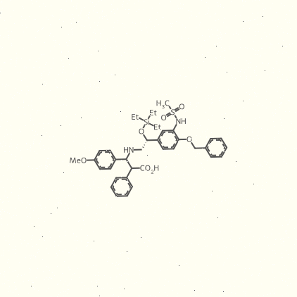 CC[Si](CC)(CC)O[C@@H](CNC(c1ccc(OC)cc1)C(C(=O)O)c1ccccc1)c1ccc(OCc2ccccc2)c(NS(C)(=O)=O)c1